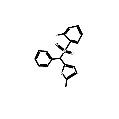 Cc1ccc(C(c2ccccc2)S(=O)(=O)c2ccccc2F)s1